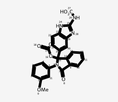 COc1cccc(N2C(=O)c3ccccc3C2(OC(=O)C(F)(F)F)c2ccc3[nH]c(NC(=O)O)nc3c2)c1